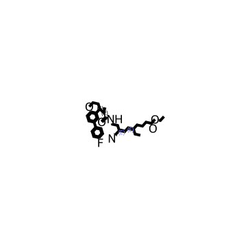 CCOC(=O)CCC/C(=C/C=C(/C#N)CCNC(=O)[C@@H]1C[C@]12CCOc1ccc(-c3ccc(F)cc3)cc12)CC